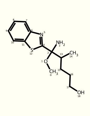 COC(N)(c1nc2ccccc2s1)C(C)CCCO